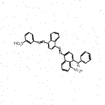 O=S(=O)(O)c1cccc(/N=N/c2ccc(/N=N/c3ccc(Nc4ccccc4)c4c(S(=O)(=O)O)cccc34)c3ccccc23)c1